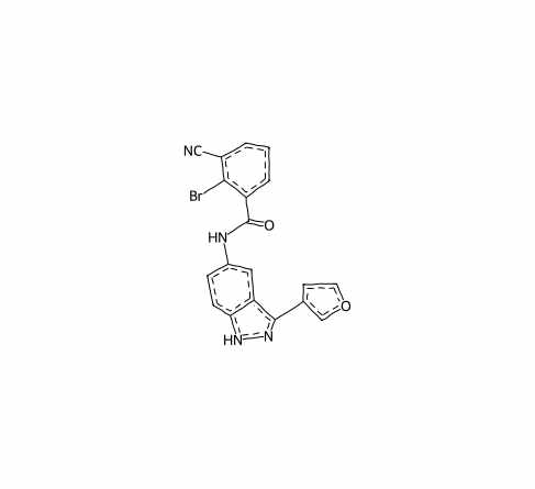 N#Cc1cccc(C(=O)Nc2ccc3[nH]nc(-c4ccoc4)c3c2)c1Br